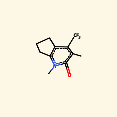 Cc1c(C(F)(F)F)c2c(n(C)c1=O)CCC2